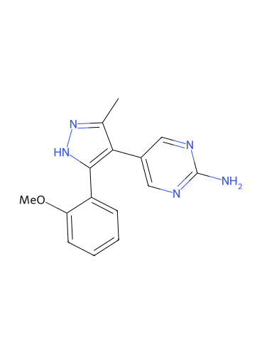 COc1ccccc1-c1[nH]nc(C)c1-c1cnc(N)nc1